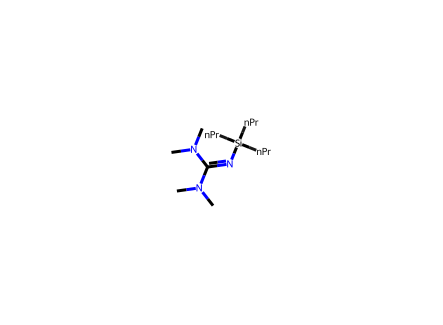 CCC[Si](CCC)(CCC)N=C(N(C)C)N(C)C